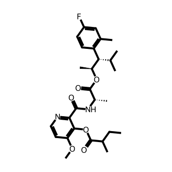 CCC(C)C(=O)Oc1c(OC)ccnc1C(=O)N[C@@H](C)C(=O)O[C@@H](C)[C@H](c1ccc(F)cc1C)C(C)C